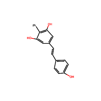 CC(C)c1c(O)cc(/C=C/c2ccc(O)cc2)cc1O